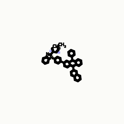 C=C/C=C\C(=C/C)c1nc2ccccc2n1-c1ccc(-c2ccc3c(-c4ccc5ccccc5c4)c4ccccc4c(-c4ccccc4)c3c2)cc1